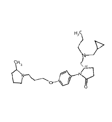 CCCN(CC1CC1)C[C@@H]1CCC(=O)N1c1ccc(OCCCN2CCCC2C)cc1